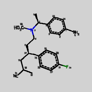 Bc1ccc([C@H](C)N(CC[C@H](CC(C)C#N)c2ccc(F)cc2)C(=O)O)cc1